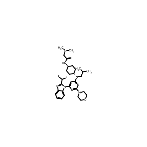 CC(C)CN(c1cc(-n2c(C(F)F)nc3ccccc32)nc(N2CCOCC2)n1)[C@H]1CC[C@H](NC(=O)CN(C)C)CC1